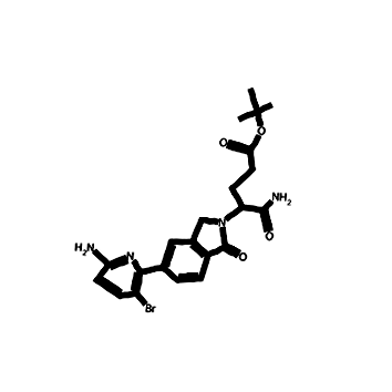 CC(C)(C)OC(=O)CCC(C(N)=O)N1Cc2cc(-c3nc(N)ccc3Br)ccc2C1=O